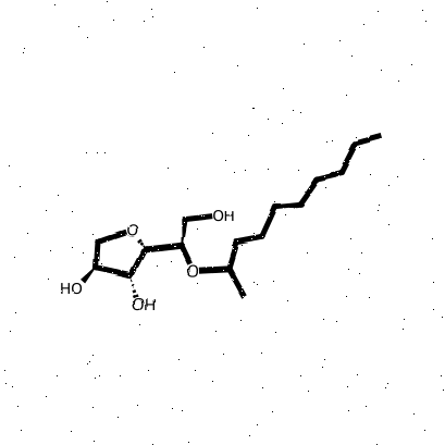 CCCCCCCCC(C)O[C@H](CO)[C@H]1OC[C@H](O)[C@H]1O